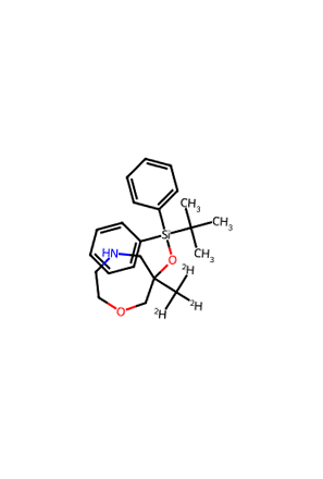 [2H]C([2H])([2H])C1(O[Si](c2ccccc2)(c2ccccc2)C(C)(C)C)CNCCOC1